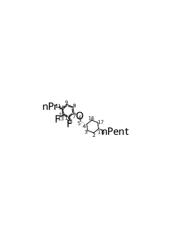 CCCCC[C@H]1CC[C@H](COc2ccc(CCC)c(F)c2F)CC1